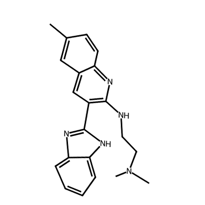 Cc1ccc2nc(NCCN(C)C)c(-c3nc4ccccc4[nH]3)cc2c1